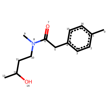 Cc1ccc(CC(=O)N(C)CCC(C)O)cc1